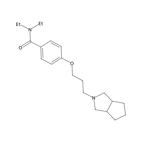 CCN(CC)C(=O)c1ccc(OCCCN2CC3CCCC3C2)cc1